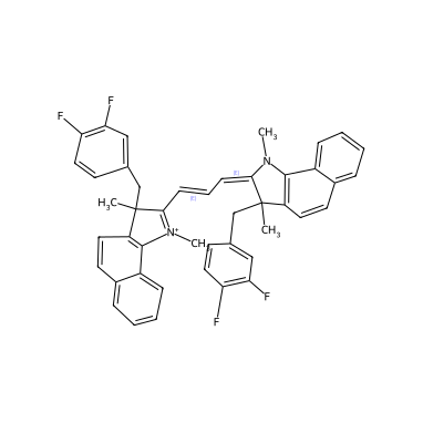 CN1/C(=C/C=C/C2=[N+](C)c3c(ccc4ccccc34)C2(C)Cc2ccc(F)c(F)c2)C(C)(Cc2ccc(F)c(F)c2)c2ccc3ccccc3c21